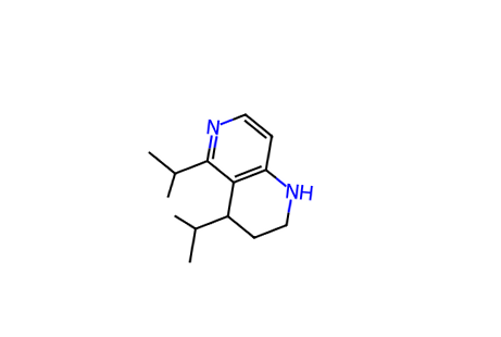 CC(C)c1nccc2c1C(C(C)C)CCN2